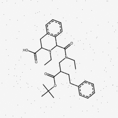 CCN(CC(CCc1ccccc1)C(=O)OC(C)(C)C)C(=O)C1c2ccccc2CC(C(=O)O)N1CC